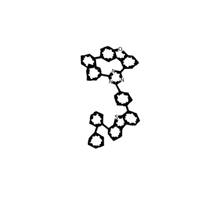 c1ccc(-c2ccc3oc4cccc(-c5nc(-c6ccccc6)nc(-c6ccc(-c7cccc8c7sc7c(-c9ccccc9-c9ccccc9)cccc78)cc6)n5)c4c3c2)cc1